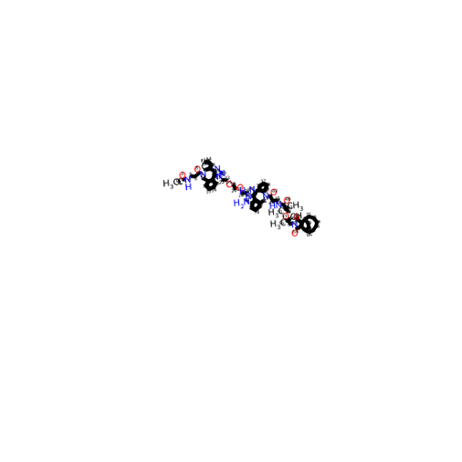 CCC(=O)NCCC(=O)N1Cc2ccccc2-c2c(nnn2CCOCCOCCN(N)/C2=C(\N)c3ccccc3N(C(=O)CCNC(=O)C(C)(C)COC(C)(C)CN3C(=O)C4=C(C3=O)C3CCCCCCC4CC3)Cc3ccccc32)-c2ccccc21